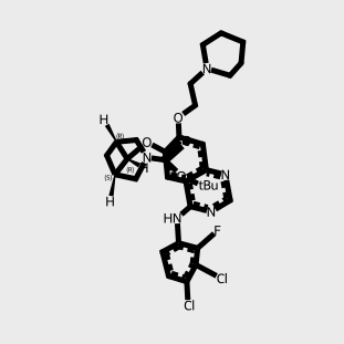 CC(C)(C)OC(=O)N1C[C@H]2C[C@@H](C1)[C@H]2Oc1cc2c(Nc3ccc(Cl)c(Cl)c3F)ncnc2cc1OCCN1CCCCC1